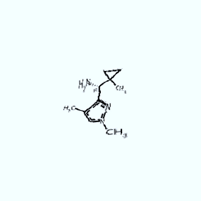 Cc1cn(C)nc1[C@H](N)C1(C)CC1